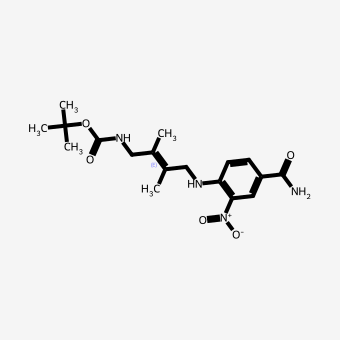 C/C(CNC(=O)OC(C)(C)C)=C(/C)CNc1ccc(C(N)=O)cc1[N+](=O)[O-]